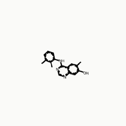 Cc1cc2c(Nc3cccc(C)c3C)ncnc2cc1O